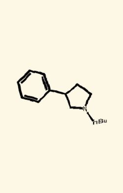 C[CH]CCN1CCC(c2ccccc2)C1